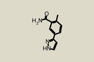 Cc1ccc(-c2cc[nH]n2)cc1C(N)=O